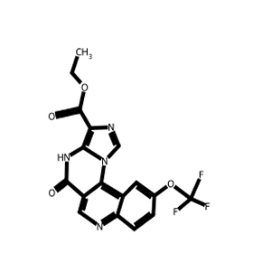 CCOC(=O)c1ncn2c1[nH]c(=O)c1cnc3ccc(OC(F)(F)F)cc3c12